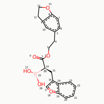 O=C(OCCc1ccc2c(c1)CCO2)[C@@H](Cc1coc2ccccc12)B(O)O